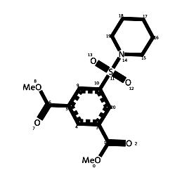 COC(=O)c1cc(C(=O)OC)cc(S(=O)(=O)N2CCCCC2)c1